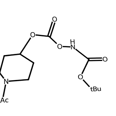 CC(=O)N1CCC(OC(=O)ONC(=O)OC(C)(C)C)CC1